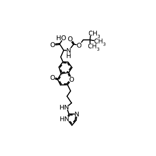 CC(C)(C)COC(=O)NC(Cc1ccc2oc(CCCNc3ncc[nH]3)cc(=O)c2c1)C(=O)O